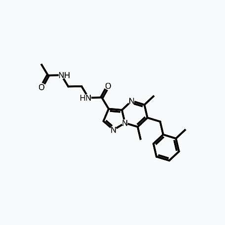 CC(=O)NCCNC(=O)c1cnn2c(C)c(Cc3ccccc3C)c(C)nc12